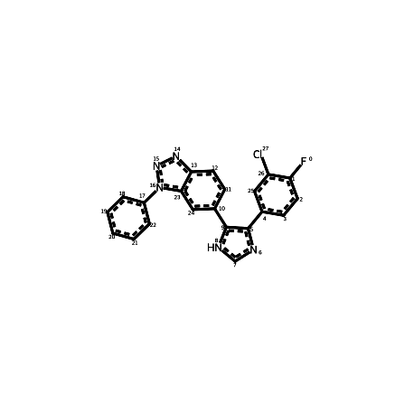 Fc1ccc(-c2nc[nH]c2-c2ccc3nnn(-c4ccccc4)c3c2)cc1Cl